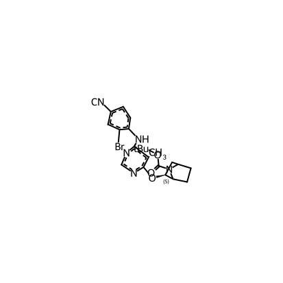 [C-]#[N+]c1ccc(Nc2ncnc(O[C@H]3CC4CCC3N4C(=O)OC(C)(C)C)c2C)c(Br)c1